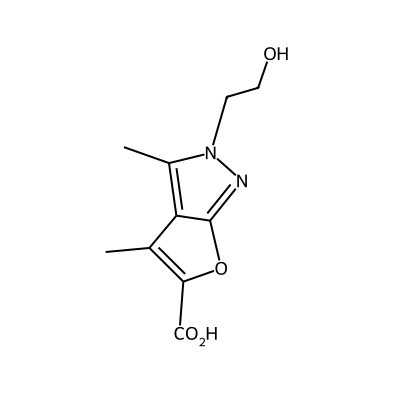 Cc1c(C(=O)O)oc2nn(CCO)c(C)c12